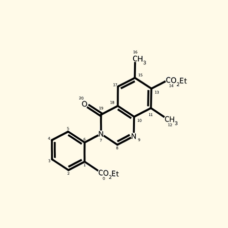 CCOC(=O)c1ccccc1-n1cnc2c(C)c(C(=O)OCC)c(C)cc2c1=O